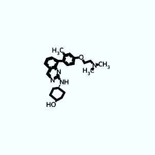 Cc1cc(OCCN(C)C)ccc1-c1cccc2cnc(N[C@H]3CC[C@H](O)CC3)nc12